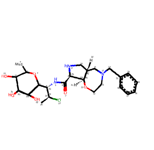 CSC1OC([C@H](NC(=O)[C@H]2NC[C@@H]3CN(Cc4ccccc4)CCO[C@H]32)[C@H](C)Cl)C(O)C(O)C1O